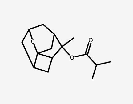 CC(C)C(=O)OC1(C)C2CC3CC4CC1C4(C3)C2